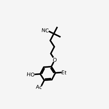 CCc1cc(C(C)=O)c(O)cc1OCCCC(C)(C)C#N